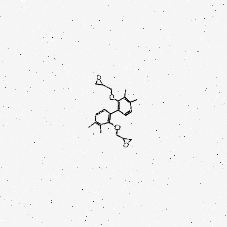 Cc1ccc(-c2ccc(C)c(C)c2OCC2CO2)c(OCC2CO2)c1C